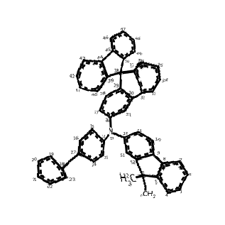 CC1(C)c2ccccc2-c2ccc(N(c3ccc(-c4ccccc4)cc3)c3ccc4c(c3)-c3ccccc3C43c4ccccc4-c4ccccc43)cc21